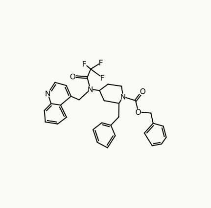 O=C(OCc1ccccc1)N1CCC(N(Cc2ccnc3ccccc23)C(=O)C(F)(F)F)CC1Cc1ccccc1